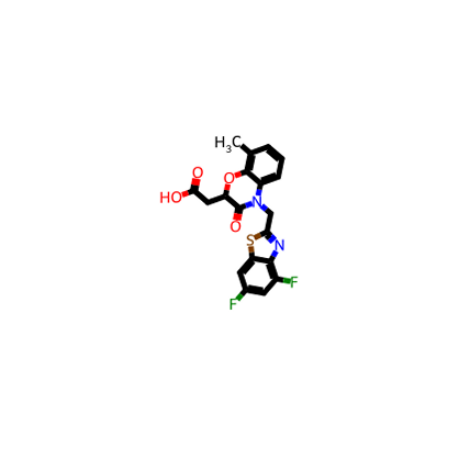 Cc1cccc2c1OC(CC(=O)O)C(=O)N2Cc1nc2c(F)cc(F)cc2s1